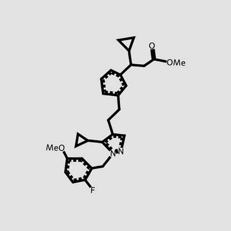 COC(=O)CC(c1cccc(CCc2cnn(Cc3cc(OC)ccc3F)c2C2CC2)c1)C1CC1